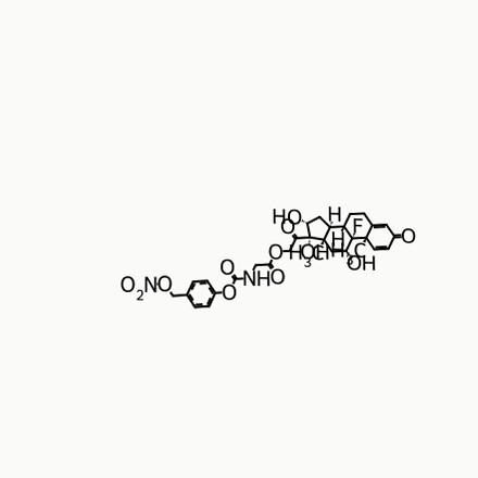 C[C@]12C=CC(=O)C=C1CC[C@H]1[C@@H]3C[C@@H](O)[C@](O)(C(=O)COC(=O)CNC(=O)Oc4ccc(CO[N+](=O)[O-])cc4)[C@@]3(C)C[C@H](O)[C@@]12F